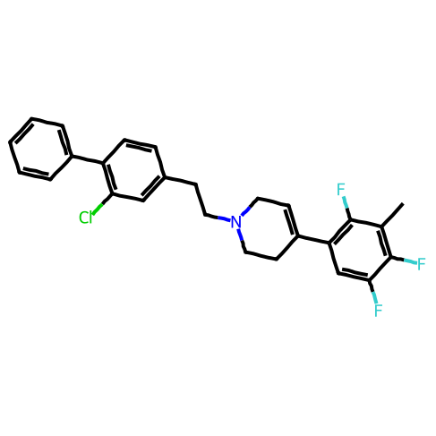 Cc1c(F)c(F)cc(C2=CCN(CCc3ccc(-c4ccccc4)c(Cl)c3)CC2)c1F